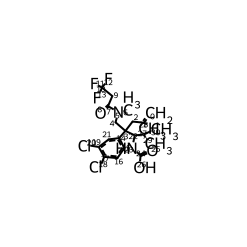 C=CCC(CN(C)C(=O)CC(F)(F)F)(c1ccc(Cl)c(Cl)c1)C(NC(=O)O)C(C)(C)C